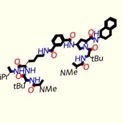 CN[C@@H](C)C(=O)N[C@H](C(=O)N[C@@H](CCCCNC(=O)c1cccc(C(=O)N[C@H]2CC(C(=O)N[C@@H]3CCc4ccccc4C3)N(C(=O)[C@@H](NC(=O)[C@H](C)NC)C(C)(C)C)C2)c1)C(=O)N[C@@H](C)C(C)C)C(C)(C)C